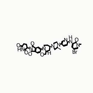 C[C@H]1CN([C@@H]2CCN3c4cc5c(cc4OC[C@H]3C2)C(=O)N(C2CCC(=O)NC2=O)C5=O)CCN1c1ccc(Nc2cc(Br)cn(C)c2=O)nc1